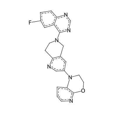 Fc1ccc2ncnc(N3CCc4ncc(N5CCOc6ncccc65)cc4C3)c2c1